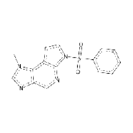 Cn1cnc2cnc3c(ccn3S(=O)(=O)c3ccccc3)c21